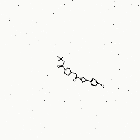 COc1ccc(C2CN(C(=O)CC3CCN(C(=O)OC(C)(C)C)C3)C2)cc1